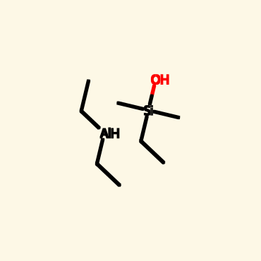 CC[Si](C)(C)O.C[CH2][AlH][CH2]C